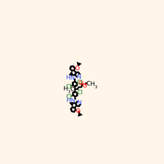 CCOC(=O)CCCC(C)(c1cc(Cl)c(CNC2(c3cnccc3-c3ccccc3OC3CC3)CC2)cc1Cl)c1cc(Cl)c(CNC2(c3cnccc3-c3ccccc3OC3CC3)CC2)cc1Cl